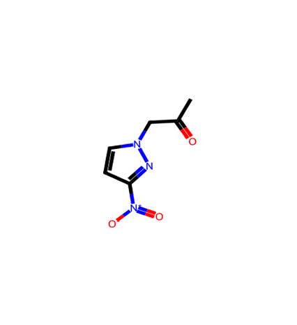 CC(=O)Cn1ccc([N+](=O)[O-])n1